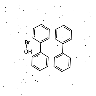 OBr.c1ccc(-c2ccccc2)cc1.c1ccc(-c2ccccc2)cc1